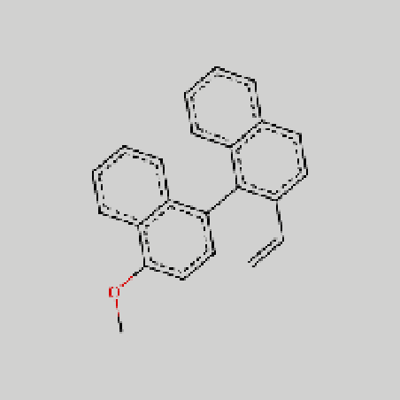 C=Cc1ccc2ccccc2c1-c1ccc(OC)c2ccccc12